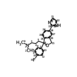 CN(C)CCCC1(c2ccc(F)cc2)OCc2cc(-c3ncc[nH]3)ccc21